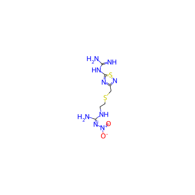 N=C(N)Nc1nc(CSCCN/C(N)=N\[N+](=O)[O-])ns1